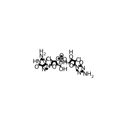 Nc1ncn([C@@H]2O[C@H](COP(=O)(O)OC3[C@@H](CO)O[C@@H](n4cnc5c(=O)[nH]c(N)nc54)[C@H]3Cl)[C@H](O)C2Cl)c(=O)n1